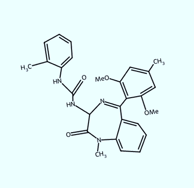 COc1cc(C)cc(OC)c1C1=NC(NC(=O)Nc2ccccc2C)C(=O)N(C)c2ccccc21